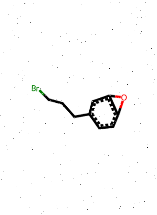 BrCCCc1ccc2c(c1)O2